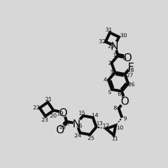 O=C(Cc1ccc(OCC[C@@H]2C[C@@H]2C2CCN(C(=O)OC3CCC3)CC2)cc1F)N1CCC1